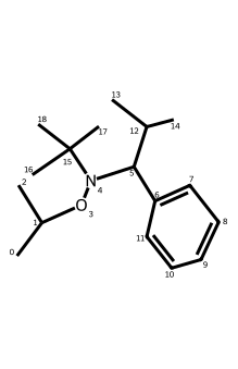 CC(C)ON(C(c1ccccc1)C(C)C)C(C)(C)C